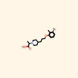 Cc1c(Br)cccc1OCCCC1CCN(C(C)C(=O)O)CC1